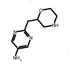 Nc1cnc(CC2CNCCO2)nc1